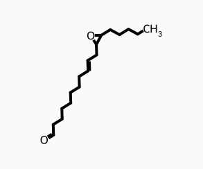 CCCCCC1OC1CC=CCCCCCCCC=O